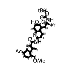 COCc1ccc(C(C)=O)c2sc(C(=O)Nc3ccc4c(C[C@](NC(=O)OC(C)(C)C)(C(=O)O)C(C)C)cccc4n3)c(C)c12